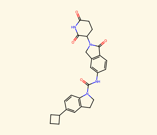 O=C1CCC(N2Cc3cc(NC(=O)N4CCc5cc(C6CCC6)ccc54)ccc3C2=O)C(=O)N1